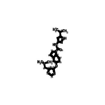 CC(C)c1cc(NC(=O)n2ccc3cc(Oc4cc(CN(C)C)ncn4)ccc32)n[nH]1